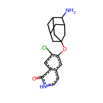 NC1C2CC3CC1CC(Oc1cc4cc[nH]c(=O)c4cc1Cl)(C3)C2